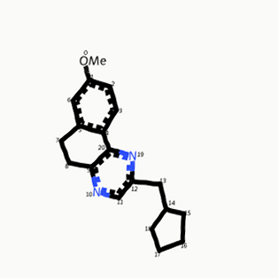 COc1ccc2c(c1)CCc1ncc(CC3CCCC3)nc1-2